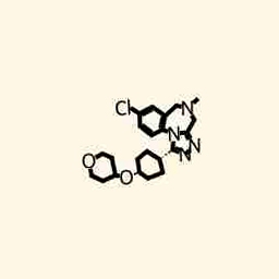 CN1Cc2cc(Cl)ccc2-n2c(nnc2[C@H]2CC[C@@H](OC3CCOCC3)CC2)C1